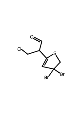 O=CC(CCl)C1=CC(Br)(Br)CS1